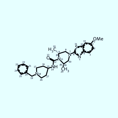 COc1ccc2nc(N3C[C@@H](C)N(C(=O)NC4CCN(Cc5ccccc5)CC4)[C@H](C)C3)sc2c1